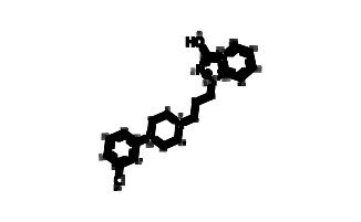 Oc1n[n+](CCCN2CCN(c3cccc(Cl)c3)CC2)c2ccccn12